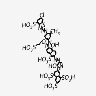 Cc1cc(N=Nc2ccc3c(S(=O)(=O)O)c(N=Nc4cnn(-c5cc(S(=O)(=O)O)c6cc(S(=O)(=O)O)cc(S(=O)(=O)O)c6c5)c4O)ccc3c2O)c(OCCCS(=O)(=O)O)cc1N=Nc1nc2c(S(=O)(=O)O)cc(Cl)cc2s1